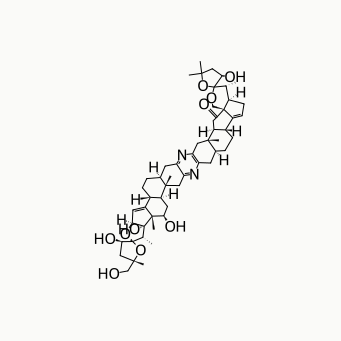 C[C@@H]1[C@H]2CC=C3[C@@H]4CC[C@H]5Cc6nc7c(nc6C[C@]5(C)[C@H]4CC(=O)[C@@]32COC12OC(C)(C)C[C@H]2O)C[C@@H]1CC[C@H]2C3=C[C@@H]4O[C@]5(O[C@](C)(CO)C[C@H]5O)[C@@H](C)[C@]4(O)[C@@]3(C)[C@H](O)C[C@@H]2[C@@]1(C)C7